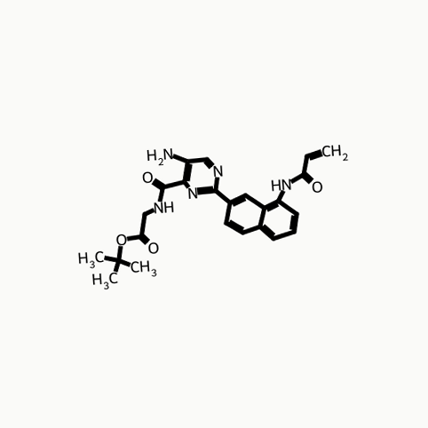 C=CC(=O)Nc1cccc2ccc(-c3ncc(N)c(C(=O)NCC(=O)OC(C)(C)C)n3)cc12